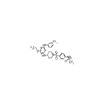 CS(=O)(=O)Nc1ccc(S(=O)(=O)N2CCC(Nc3nc(Nc4cccc(C(F)(F)F)c4)nc(OCC(F)(F)F)n3)CC2)cc1